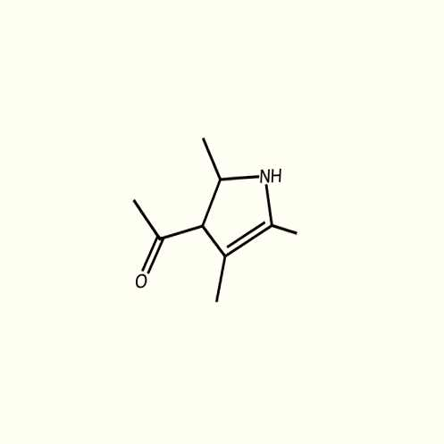 CC(=O)C1C(C)=C(C)NC1C